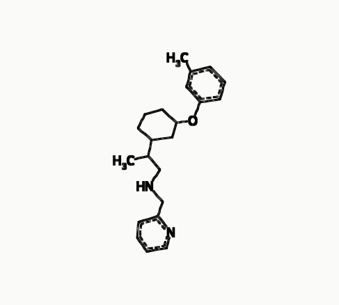 Cc1cccc(OC2CCCC(C(C)CNCc3ccccn3)C2)c1